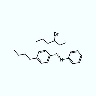 CCCC(Br)CC.CCCCc1ccc(N=Nc2ccccc2)cc1